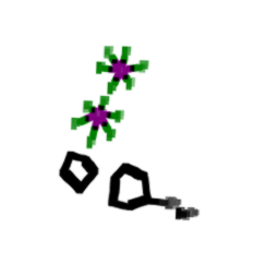 C1=CCC=C1.CC(C)c1ccccc1.F[P-](F)(F)(F)(F)F.F[P-](F)(F)(F)(F)F.[Fe+2]